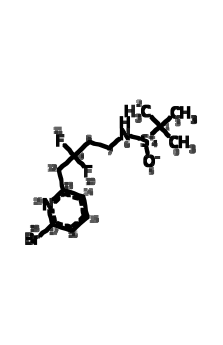 CC(C)(C)[S+]([O-])NCCC(F)(F)Cc1cccc(Br)n1